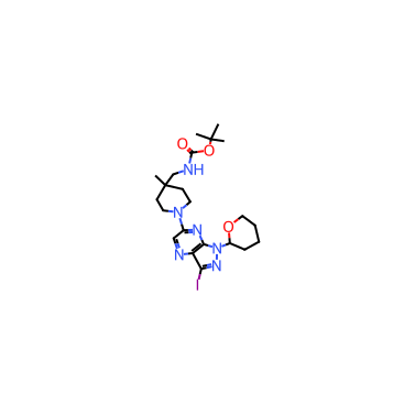 CC1(CNC(=O)OC(C)(C)C)CCN(c2cnc3c(I)nn(C4CCCCO4)c3n2)CC1